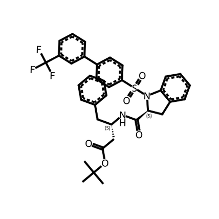 CC(C)(C)OC(=O)C[C@H](Cc1ccccc1)NC(=O)[C@@H]1Cc2ccccc2N1S(=O)(=O)c1ccc(-c2cccc(C(F)(F)F)c2)cc1